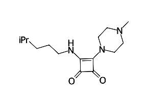 CC(C)CCCNc1c(N2CCN(C)CC2)c(=O)c1=O